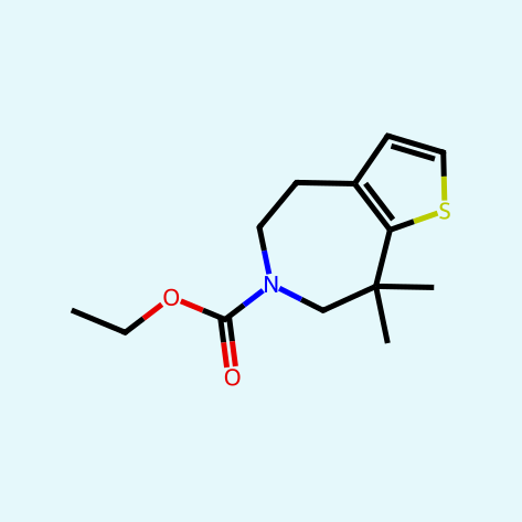 CCOC(=O)N1CCc2ccsc2C(C)(C)C1